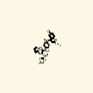 CC(C)(C)OC(=O)N[C@@H](Cn1cccn1)C(=O)N[C@H]1CC[C@@H](Nc2cc(C(F)(F)F)nc3ccc(Cl)cc23)CC1